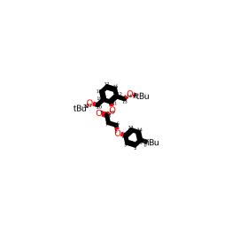 CCC(C)c1ccc(OCCC(=O)Oc2c(COC(C)(C)C)cccc2COC(C)(C)C)cc1